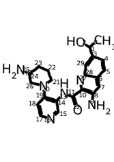 CC(O)c1ccc2cc(N)c(C(=O)Nc3cnccc3N3CCC[C@H](N)C3)nc2c1